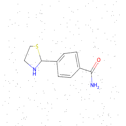 NC(=O)c1ccc(C2NCCS2)cc1